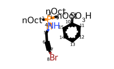 CCCCCCCC[PH](CCCCCCCC)(CCCCCCCC)NCC#CBr.O=S(=O)(O)c1ccccc1